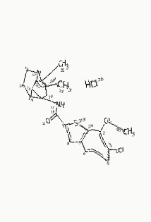 COc1c(Cl)ccc2cc(C(=O)NC3C4CCN(CC4)C3(C)C)sc12.Cl